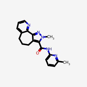 Cc1cccc(NC(=O)c2c3c(nn2C)-c2ncccc2CCC3)n1